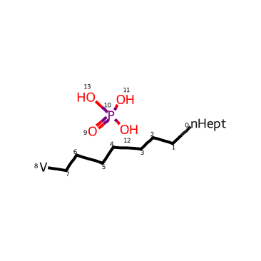 CCCCCCCCCCCCC[CH2][V].O=P(O)(O)O